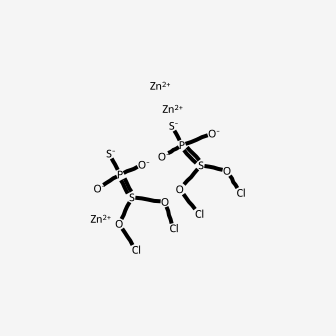 [O-]P([O-])([S-])=S(OCl)OCl.[O-]P([O-])([S-])=S(OCl)OCl.[Zn+2].[Zn+2].[Zn+2]